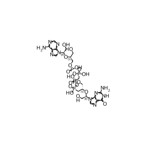 Nc1nc2c(ncn2[C@@H](CO)O[C@@H](CO)CP(=O)(O)OP(=O)(O)CP(=O)(O)OP(=O)(O)OC[C@H](CO)O[C@H](CO)n2cnc3c(N)ncnc32)c(=O)[nH]1